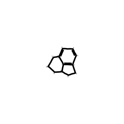 [C]1Cc2cccc3c2C1CCC3